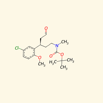 COc1ccc(Cl)cc1[C@@H](CC=O)CCN(C)C(=O)OC(C)(C)C